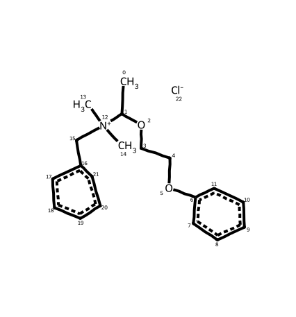 CC(OCCOc1ccccc1)[N+](C)(C)Cc1ccccc1.[Cl-]